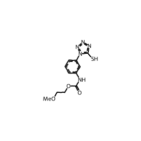 COCCOC(=O)Nc1cccc(-n2nnnc2S)c1